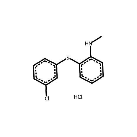 CNc1ccccc1Sc1cccc(Cl)c1.Cl